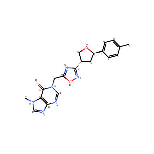 Cc1ccc([C@H]2C[C@H](c3noc(Cn4cnc5ncn(C)c5c4=O)n3)CO2)cc1